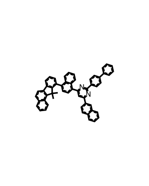 CC1(C)c2c(cccc2-c2ccc(-c3cc(-c4ccc5ccccc5c4)nc(-c4ccc(-c5ccccc5)cc4)n3)c3ccccc23)-c2ccc3ccccc3c21